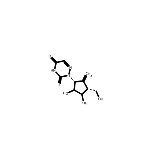 C=C1[C@@H](n2ncc(=O)[nH]c2=O)C(O)C(O)[C@H]1CO